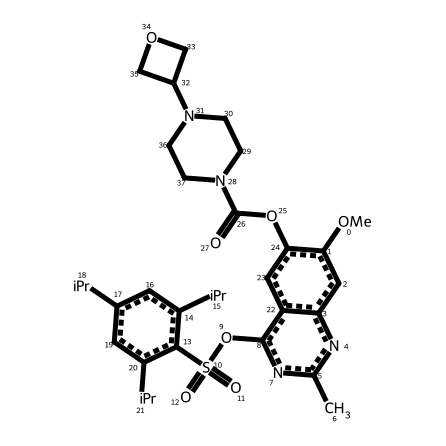 COc1cc2nc(C)nc(OS(=O)(=O)c3c(C(C)C)cc(C(C)C)cc3C(C)C)c2cc1OC(=O)N1CCN(C2COC2)CC1